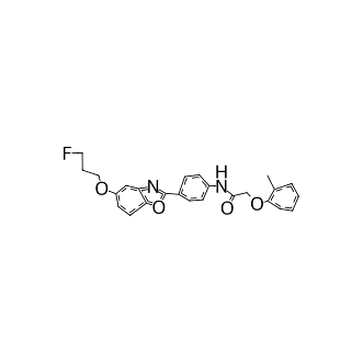 Cc1ccccc1OCC(=O)Nc1ccc(-c2nc3cc(OCCCF)ccc3o2)cc1